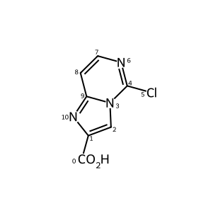 O=C(O)c1cn2c(Cl)nccc2n1